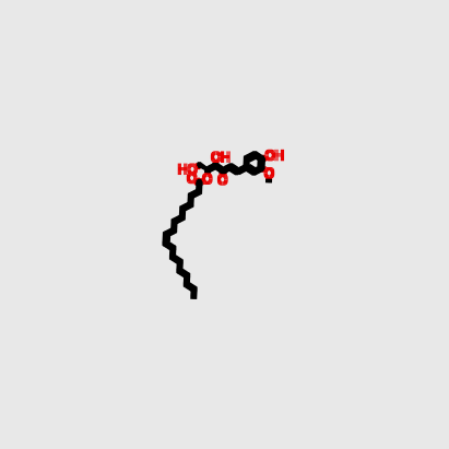 CCCCCCCC/C=C\CCCCCCCC(=O)O[C@@H](CO)C(O)C(=O)C=Cc1ccc(O)c(OC)c1